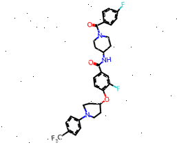 O=C(NC1CCN(C(=O)c2ccc(F)cc2)CC1)c1ccc(OC2CCN(c3ccc(C(F)(F)F)cc3)CC2)c(F)c1